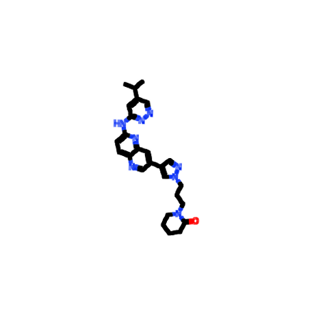 CC(C)c1cnnc(Nc2ccc3ncc(-c4cnn(CCCN5CCCCC5=O)c4)cc3n2)c1